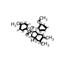 COc1cccc([C@]23CC(C)=C(C)C[C@@H]2CN(S(=O)(=O)c2ccc(C)cc2)C3)c1